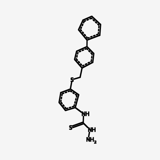 NNC(=S)Nc1cccc(SCc2ccc(-c3ccccc3)cc2)c1